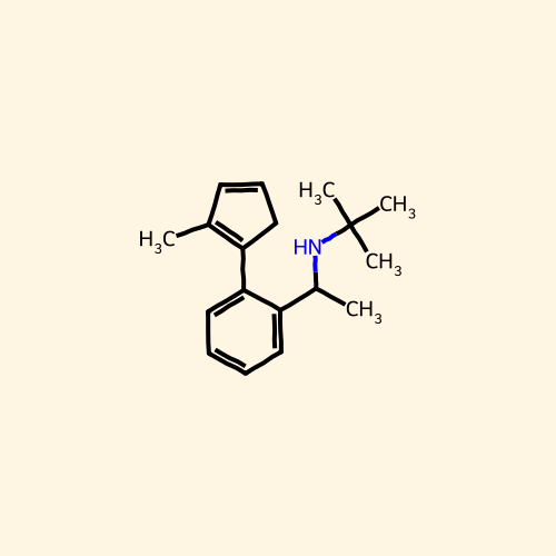 CC1=C(c2ccccc2C(C)NC(C)(C)C)CC=C1